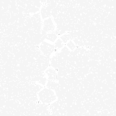 CC(C)c1ccc([C@](O)(c2cncc(-c3noc(C4(C)CCC(=O)NC4)n3)c2)C2(C)CN(C)C2)cc1